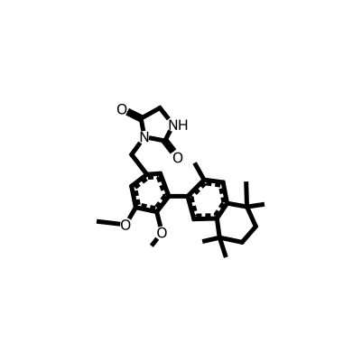 COc1cc(CN2C(=O)CNC2=O)cc(-c2cc3c(cc2C)C(C)(C)CCC3(C)C)c1OC